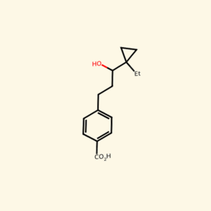 CCC1(C(O)CCc2ccc(C(=O)O)cc2)CC1